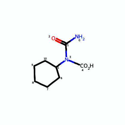 NC(=O)N(C(=O)O)C1CCCCC1